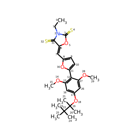 CCN1C(=S)O/C(=C\c2ccc(-c3c(OC)cc(OC(C)(C)C(C)(C)C)cc3OC)o2)C1=S